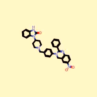 O=c1[nH]c2ccccc2n1C1CCN(Cc2ccc(N3Cc4cc([N+](=O)[O-])ccc4N=C3c3ccccc3)cc2)CC1